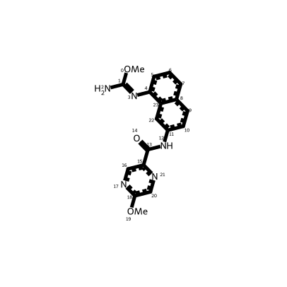 CO/C(N)=N\c1cccc2ccc(NC(=O)c3cnc(OC)cn3)cc12